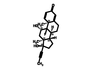 CC#C[C@@]1(O)CC[C@H]2[C@@H]3CCC4=CC(=O)C=C[C@]4(C)C3(F)[C@@H](O)C[C@@]21C